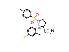 Cc1ccc(S(=O)(=O)N2CCC(C(=O)O)[C@@H]2c2ccc(F)cc2C)cc1